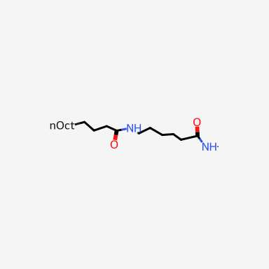 [CH2]CCCCCCCCCCC(=O)NCCCCCC([NH])=O